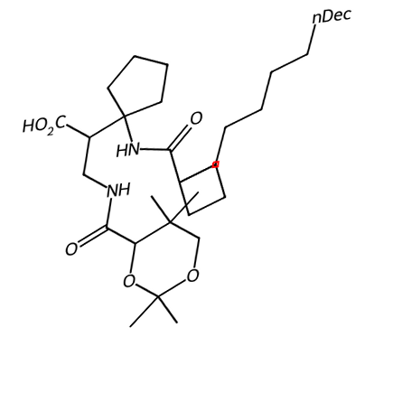 CCCCCCCCCCCCCCCC1(C(=O)NC2(C(CNC(=O)C3OC(C)(C)OCC3(C)C)C(=O)O)CCCC2)CCC1